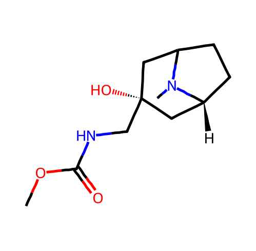 COC(=O)NC[C@@]1(O)CC2CC[C@H](C1)N2C